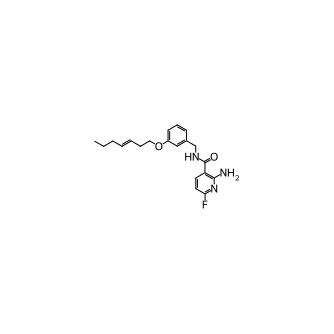 CCCC=CCCOc1cccc(CNC(=O)c2ccc(F)nc2N)c1